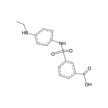 CCBc1ccc(NS(=O)(=O)c2cccc(C(=O)O)c2)cc1